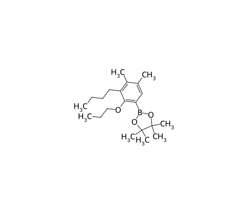 CCCCc1c(C)c(C)cc(B2OC(C)(C)C(C)(C)O2)c1OCCC